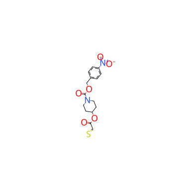 O=C(C=S)OC1CCN(C(=O)OCc2ccc([N+](=O)[O-])cc2)CC1